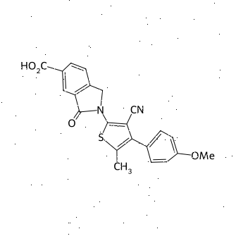 COc1ccc(-c2c(C)sc(N3Cc4ccc(C(=O)O)cc4C3=O)c2C#N)cc1